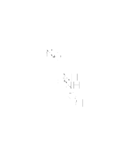 O=C(NCc1ccc(Cl)cc1)NC1CC2(CC(CC(=O)N3CCCC3)C2)C1